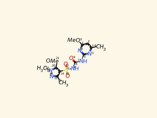 COc1cc(C)nc(NC(=O)NS(=O)(=O)c2c(C)nn(C)c2OC)n1